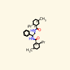 CC(C)C1CC[C@@H](C)C[C@H]1C(=O)N[C@H](CNC(=O)[C@@H]1C[C@H](C)CC[C@H]1C(C)C)c1ccccc1